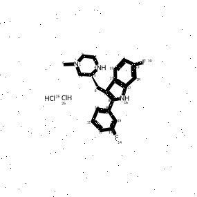 CN1CCN[C@@H](Cc2c(-c3cccc(F)c3)[nH]c3cc(F)ccc23)C1.Cl.Cl